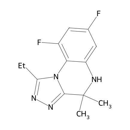 CCc1nnc2n1-c1c(F)cc(F)cc1NC2(C)C